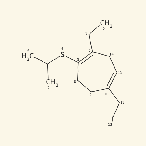 CCC1=C(SC(C)C)CCC(CI)=CC1